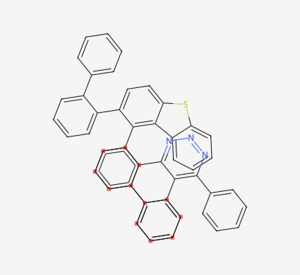 c1ccc(-c2ccccc2-c2ccc3sc4ccccc4c3c2-c2cccc(-c3ccccc3)c2-c2nnnc(-c3ccccc3)c2-c2ccccc2-c2ccccc2)cc1